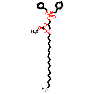 CCCCCCCCCCCCCCCCCCOCC(COP(=O)(OCc1ccccc1)OCc1ccccc1)OC(=O)OC